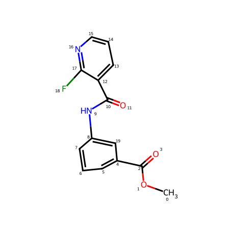 COC(=O)c1cccc(NC(=O)c2cccnc2F)c1